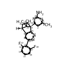 Cc1cc([C@@]23CC[C@@H](c4cc(-c5c(F)cccc5F)nnc42)C3(C)C)nc(N)n1